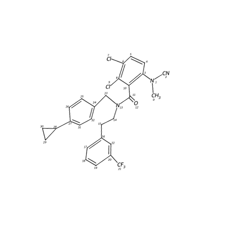 CN(C#N)c1ccc(Cl)c(Cl)c1C(=O)N(CCc1cccc(C(F)(F)F)c1)Cc1ccc(C2CC2)cc1